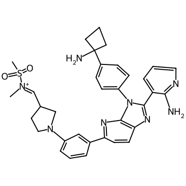 C/[N+](=C\C1CCN(c2cccc(-c3ccc4nc(-c5cccnc5N)n(-c5ccc(C6(N)CCC6)cc5)c4n3)c2)C1)S(C)(=O)=O